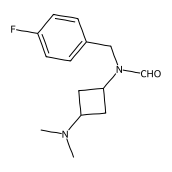 CN(C)C1CC(N(C=O)Cc2ccc(F)cc2)C1